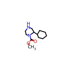 COC(=O)N1CCNCC1C1CCCCC1